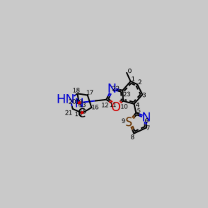 Cc1ccc(-c2nccs2)c2oc(N3CC4CCC(C3)NC4)nc12